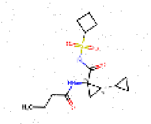 CCCC(=O)N[C@]1(C(=O)NS(=O)(=O)C2CCC2)C[C@H]1C1CC1